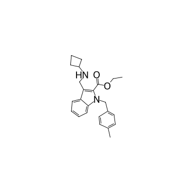 CCOC(=O)c1c(CNC2CCC2)c2ccccc2n1Cc1ccc(C)cc1